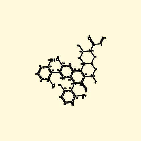 C=CC(=O)N1CC2CN(C)c3c(c4cc(Cl)c(-c5c(O)cccc5Cl)nc4n(-c4c(C)ccnc4C(C)C)c3=O)N2CC1C